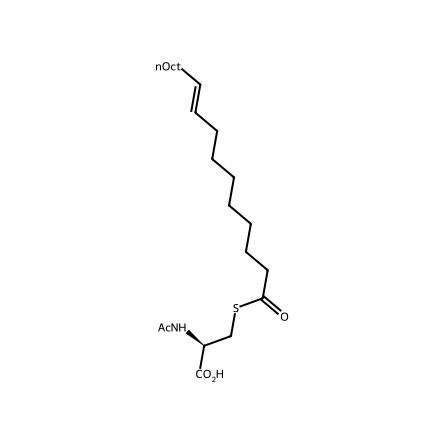 CCCCCCCCC=CCCCCCCCC(=O)SC[C@H](NC(C)=O)C(=O)O